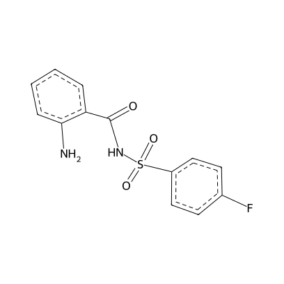 Nc1ccccc1C(=O)NS(=O)(=O)c1ccc(F)cc1